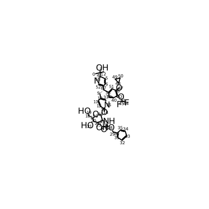 CC(C)(O)c1ccc([C@@H](Cc2ccc(O[C@@H]3O[C@H](CO)[C@@H](O)[C@H](O)[C@H]3NC(=O)OCc3ccccc3)nc2)c2ccc(OC(F)F)c(OC3CC3)c2)cn1